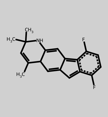 CC1=CC(C)(C)NC2=CC3=c4c(F)ccc(F)c4=CC3=CC12